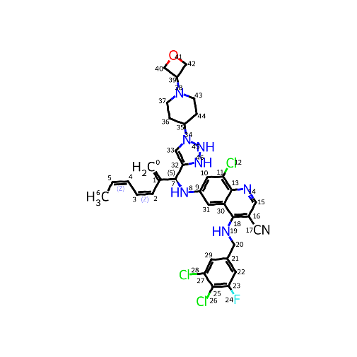 C=C(/C=C\C=C/C)[C@H](Nc1cc(Cl)c2ncc(C#N)c(NCc3cc(F)c(Cl)c(Cl)c3)c2c1)C1=CN(C2CCN(C3COC3)CC2)NN1